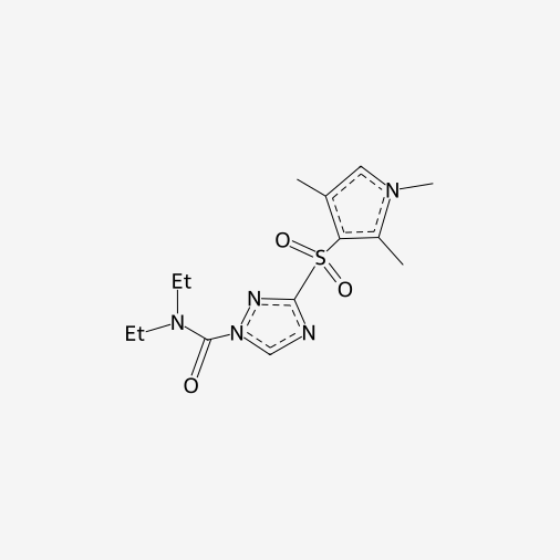 CCN(CC)C(=O)n1cnc(S(=O)(=O)c2c(C)cn(C)c2C)n1